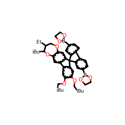 CCC(C)COc1cc2c(cc1OCC(C)CC)C1(c3cc(B4OCCO4)ccc3-c3ccc(B4OCCO4)cc31)c1cc3c(cc1-2)OC(C(C)CC)C(CC)CO3